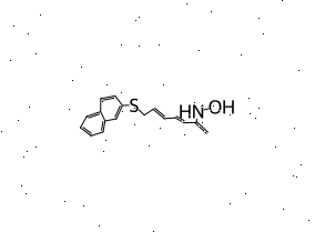 C=C(/C=C/C=C/CSc1ccc2ccccc2c1)NO